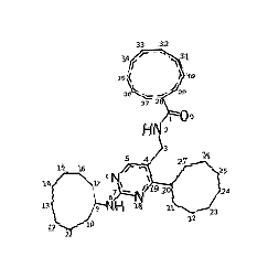 O=C(NCc1cnc(NC2CCCCCCCC2)nc1C1CCCCCCC1)c1ccccccccc1